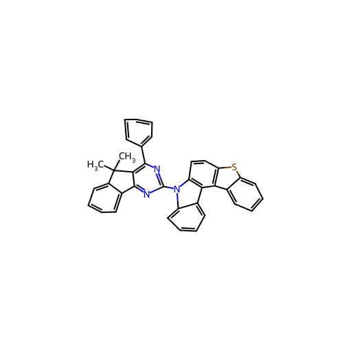 CC1(C)c2ccccc2-c2nc(-n3c4ccccc4c4c5c(ccc43)sc3ccccc35)nc(-c3ccccc3)c21